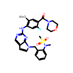 COc1cc(C(=O)N2CCOCC2)c(F)cc1Nc1ncc2ccn(Cc3ccccc3N(C)S(C)(=O)=O)c2n1